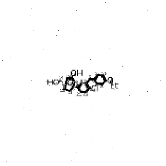 CCOc1ccc(Cc2cc([C@@]34CC[C@@](CO)(C[C@H](O)C3)O4)ccc2Cl)cc1